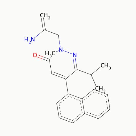 C=C(N)CN(C)/N=C(\C(=C/C=O)c1cccc2ccccc12)C(C)C